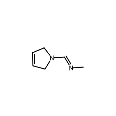 C/N=C/N1CC=CC1